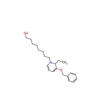 CCC1C(OCc2ccccc2)=CC=CN1CCCCCCCCO